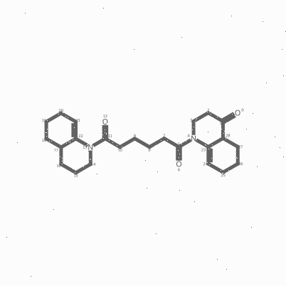 O=C1CCN(C(=O)CCCCC(=O)N2CCCC3CCCC=C32)C2=CCCCC12